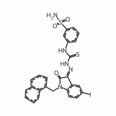 NS(=O)(=O)c1cccc(NC(=S)NN=C2C(=O)N(Cc3cccc4ccccc34)c3ccc(I)cc32)c1